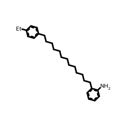 CCc1ccc(CCCCCCCCCCCCCc2ccccc2N)cc1